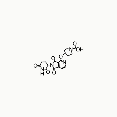 O=C1CCC(N2C(=O)c3ccnc(OC4CCN(C(=O)O)CC4)c3C2=O)C(=O)N1